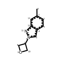 Cc1ccc2cn(C3COC3)nc2c1